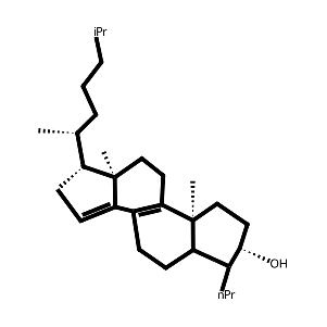 CCCC1C2CCC3=C(CC[C@@]4(C)C3=CC[C@@H]4[C@H](C)CCCC(C)C)[C@@]2(C)CC[C@@H]1O